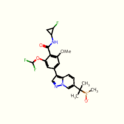 COc1cc(-c2cnn3cc(C(C)(C)[S+](C)[O-])ccc23)cc(OC(F)F)c1C(=O)NC1CC1F